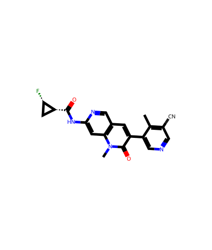 Cc1c(C#N)cncc1-c1cc2cnc(NC(=O)[C@@H]3C[C@@H]3F)cc2n(C)c1=O